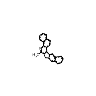 Cc1nc2c(ccc3ccccc32)c2c1Cc1cc3ccccc3cc1-2